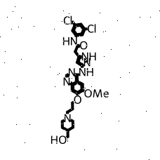 COc1cc2c(Nc3cc(CC(=O)Nc4cc(Cl)cc(Cl)c4)[nH]n3)ncnc2cc1OCCCN1CCC(CO)CC1